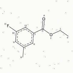 CCOC(=O)c1cc(C)cc(F)c1